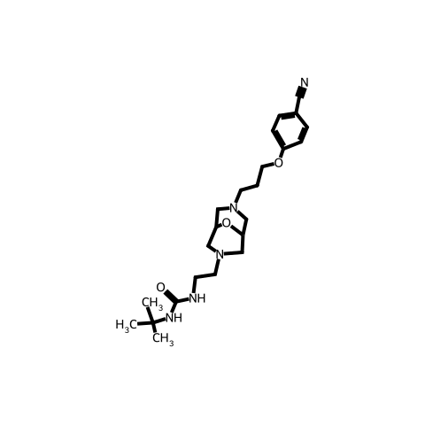 CC(C)(C)NC(=O)NCCN1CC2CN(CCCOc3ccc(C#N)cc3)CC(C1)O2